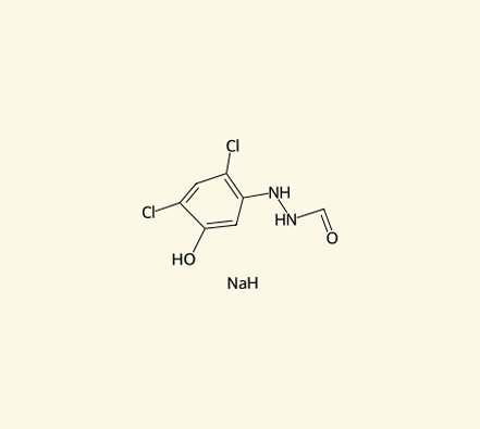 O=CNNc1cc(O)c(Cl)cc1Cl.[NaH]